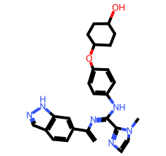 C=C(/N=C(/Nc1ccc(OC2CCC(O)CC2)cc1)c1nccn1C)c1ccc2cn[nH]c2c1